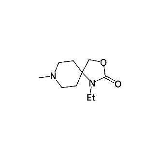 CCN1C(=O)OCC12CCN(C)CC2